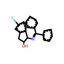 OC1Cc2cc(F)ccc2C1N=C(c1ccccc1)c1ccccc1